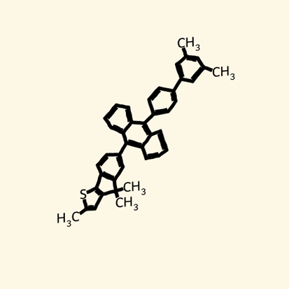 Cc1cc(C)cc(-c2ccc(-c3c4ccccc4c(-c4ccc5c(c4)C(C)(C)c4cc(C)sc4-5)c4ccccc34)cc2)c1